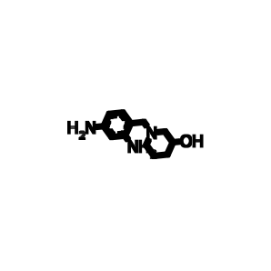 Nc1ccc(CN2CCCC(O)C2)c(N)c1